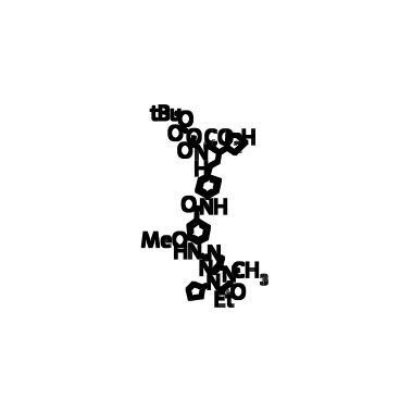 CC[C@@H]1C(=O)N(C)c2cnc(Nc3ccc(C(=O)Nc4ccc(CCC(C5CCCC5)[C@H](NC(=O)OC(=O)OC(C)(C)C)C(=O)O)cc4)cc3OC)nc2N1C1CCCC1